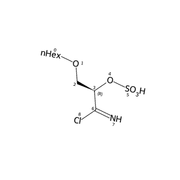 CCCCCCOC[C@@H](OS(=O)(=O)O)C(=N)Cl